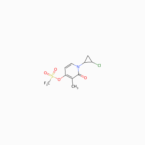 Cc1c(OS(=O)(=O)C(F)(F)F)ccn(C2CC2Cl)c1=O